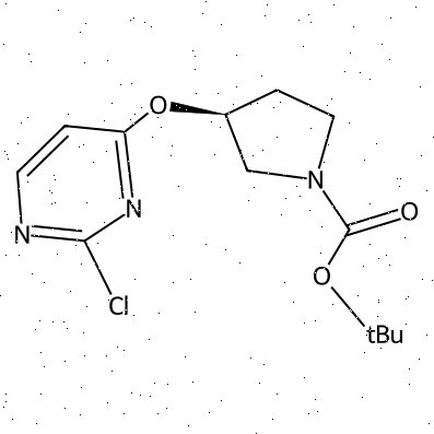 CC(C)(C)OC(=O)N1CC[C@H](Oc2ccnc(Cl)n2)C1